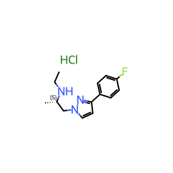 CCN[C@@H](C)Cn1ccc(-c2ccc(F)cc2)n1.Cl